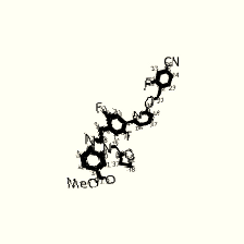 COC(=O)c1ccc2nc(Cc3cc(F)c(-c4cccc(OCc5ccc(C#N)cc5F)n4)cc3F)n(C[C@@H]3CCO3)c2c1